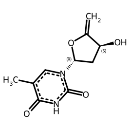 C=C1O[C@@H](n2cc(C)c(=O)[nH]c2=O)C[C@@H]1O